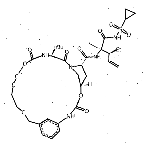 C=C[C@H](CC)[C@@](C)(NC(=O)[C@@H]1C[C@@H]2CN1C(=O)[C@H](CCCC)NC(=O)OCCCCCCc1cccc(c1)NC(=O)O2)C(=O)NS(=O)(=O)C1CC1